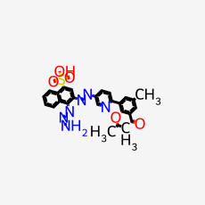 Cc1cc(C=O)c(OC(C)C)c(-c2ccc(/N=N/c3cc(S(=O)(=O)O)c4ccccc4c3N=NN)cn2)c1